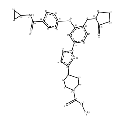 CC(C)(C)OC(=O)N1CCC(c2nnc(-c3ccc(CN4CCCC4=O)c(Oc4ccc(C(=O)NC5CC5)cc4)c3)o2)CC1